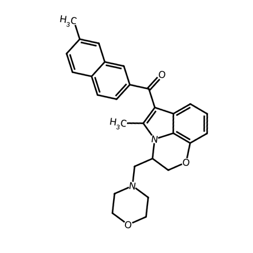 Cc1ccc2ccc(C(=O)c3c(C)n4c5c(cccc35)OCC4CN3CCOCC3)cc2c1